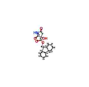 O=C1CC(O)(C(=O)OCC2c3ccccc3-c3ccccc32)C(=O)N1